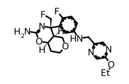 CCOc1cnc(CNc2ccc(F)c([C@@]3(CF)N=C(N)O[C@@H]4CCOC[C@@H]43)c2)cn1